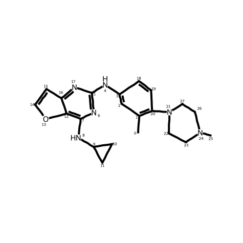 Cc1cc(Nc2nc(NC3CC3)c3occc3n2)ccc1N1CCN(C)CC1